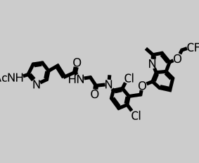 CC(=O)Nc1ccc(/C=C/C(=O)NCC(=O)N(C)c2ccc(Cl)c(COc3cccc4c(OCC(F)(F)F)cc(C)nc34)c2Cl)cn1